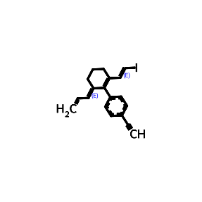 C#Cc1ccc(C2=C(/C=C/I)CCC/C2=C\C=C)cc1